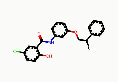 CC(COc1cccc(NC(=O)c2cc(Cl)ccc2O)c1)c1ccccc1